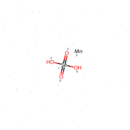 O=[Se](=O)(O)O.[Mn]